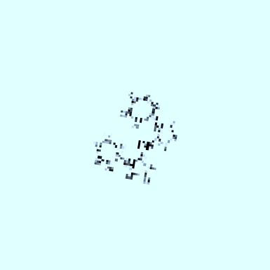 c1ccc(N2CCCC2NC2CCCN2c2ccccc2)cc1